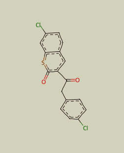 O=C(Cc1ccc(Cl)cc1)c1cc2ccc(Cl)cc2sc1=O